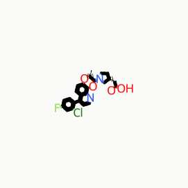 C[C@@H](Oc1ccc2c(-c3ccc(F)cc3Cl)ccnc2c1)C(=O)N1CC[C@H](CC(=O)O)C1